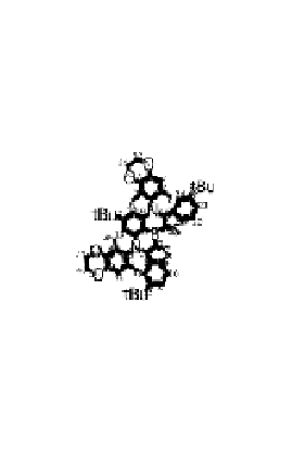 Cc1cc2c(c(C)c1N1c3cc(C(C)(C)C)cc4c3B(c3sc5ccc(C(C)(C)C)cc5c31)c1sc3ccc(C(C)(C)C)cc3c1N4c1c(C)cc3c(c1C)OCCO3)OCCO2